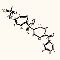 CS(=O)(=O)Nc1ccc(S(=O)(=O)C2CCN(C(=O)c3ccccc3)CC2)cc1